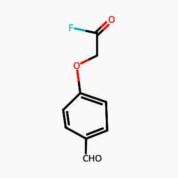 O=Cc1ccc(OCC(=O)F)cc1